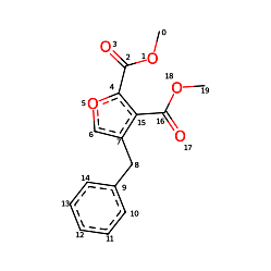 COC(=O)c1occ(Cc2ccccc2)c1C(=O)OC